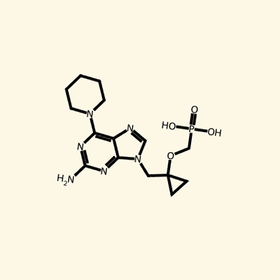 Nc1nc(N2CCCCC2)c2ncn(CC3(OCP(=O)(O)O)CC3)c2n1